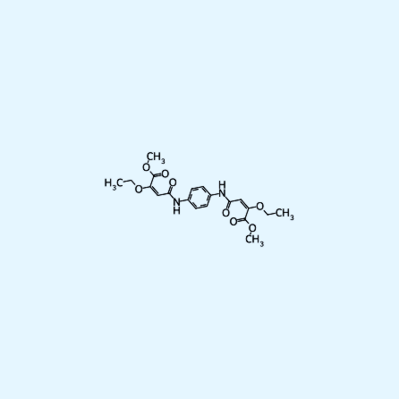 CCO/C(=C/C(=O)Nc1ccc(NC(=O)/C=C(/OCC)C(=O)OC)cc1)C(=O)OC